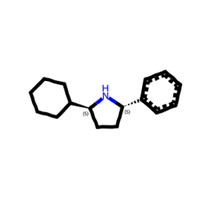 c1ccc([C@@H]2CC[C@@H](C3CCCCC3)N2)cc1